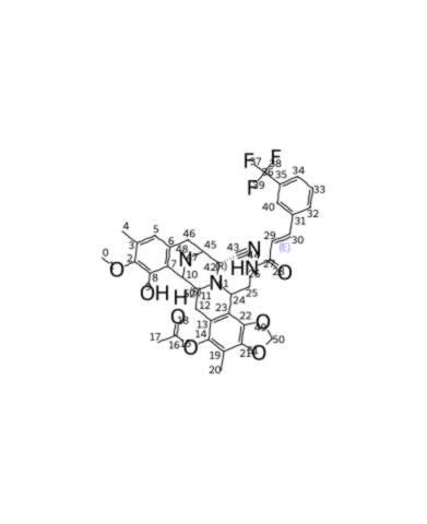 COc1c(C)cc2c(c1O)C1[C@@H]3Cc4c(OC(C)=O)c(C)c5c(c4C(CNC(=O)/C=C/c4cccc(C(F)(F)F)c4)N3[C@@H](C#N)C(C2)N1C)OCO5